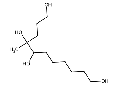 CC(O)(CCCO)C(O)CCCCCCO